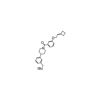 CC(C)(C)[CH]c1cccc(C2CCN(C(=O)c3cccc(OCC=C4CCC4)c3)CC2)c1